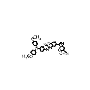 COc1ccc(N(c2ccc(OC)cc2)c2ccc3nc4nc5cc(-c6cnc(C=C(C#N)C(=O)O)s6)ccc5nc4nc3c2)cc1